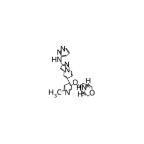 Cc1cc(-c2ccn3nc(Nc4cccnn4)cc3c2)c(O[C@H]2C[C@H]3COC[C@@H](C2)N3)cn1